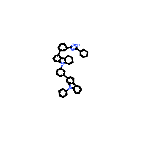 C1=CC(c2nc(-c3cccc(-c4cccc5c4c4c(n5-c5cccc(-c6ccc7c8ccccc8n(-c8ccccc8)c7c6)c5)C=CCC4)c3)n[nH]2)=CCC1